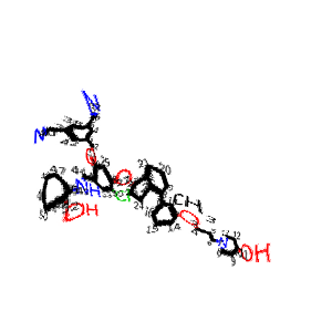 Cc1c(OCCCN2CCC(O)CC2)cccc1-c1cccc2c1CCC2Oc1cc(OCc2cc(C#N)cc(C#N)c2)c(CN[C@@H]2CCCC[C@@H]2O)cc1Cl